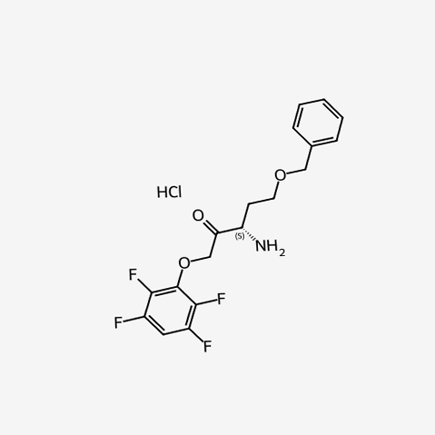 Cl.N[C@@H](CCOCc1ccccc1)C(=O)COc1c(F)c(F)cc(F)c1F